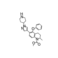 COC(=O)N1c2ccc(-c3cnn(C4CCNCC4)c3)c(Oc3ccccc3)c2CCC1C